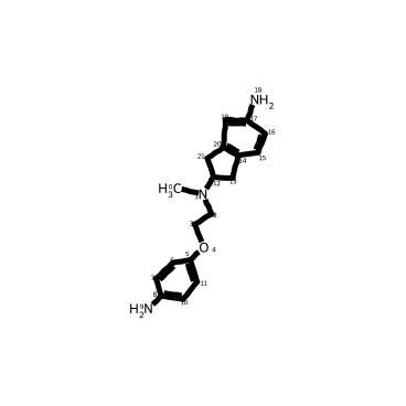 CN(CCOc1ccc(N)cc1)C1Cc2ccc(N)cc2C1